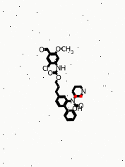 COc1cc(NC(=O)OCCCc2ccc(-c3ccccc3)c(N(C(=O)O)C3CN4CCC3CC4)c2)c(Cl)cc1C=O